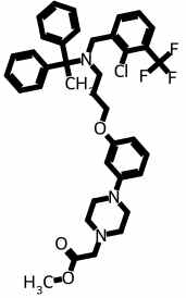 COC(=O)CN1CCN(c2cccc(OCCCN(Cc3cccc(C(F)(F)F)c3Cl)C(C)(c3ccccc3)c3ccccc3)c2)CC1